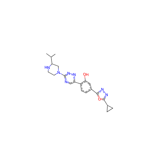 CC(C)C1CN(c2ncc(-c3ccc(-c4nnc(C5CC5)o4)cc3O)nn2)CCN1